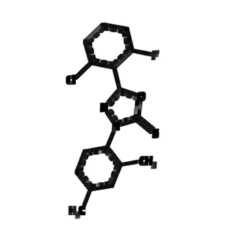 Cc1ccc(-n2nc(-c3c(F)cccc3Cl)oc2=S)c(C)c1